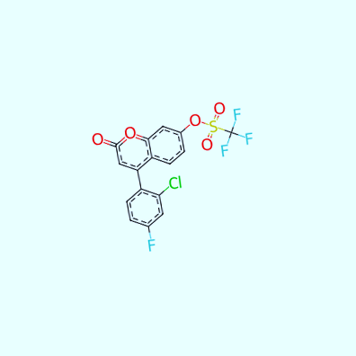 O=c1cc(-c2ccc(F)cc2Cl)c2ccc(OS(=O)(=O)C(F)(F)F)cc2o1